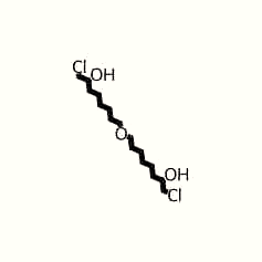 OC(CCl)CCCCCCOCCCCCCC(O)CCl